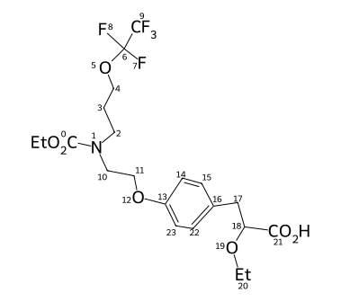 CCOC(=O)N(CCCOC(F)(F)C(F)(F)F)CCOc1ccc(CC(OCC)C(=O)O)cc1